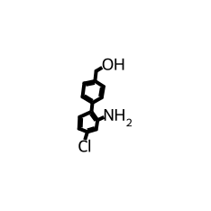 Nc1cc(Cl)ccc1-c1ccc(CO)cc1